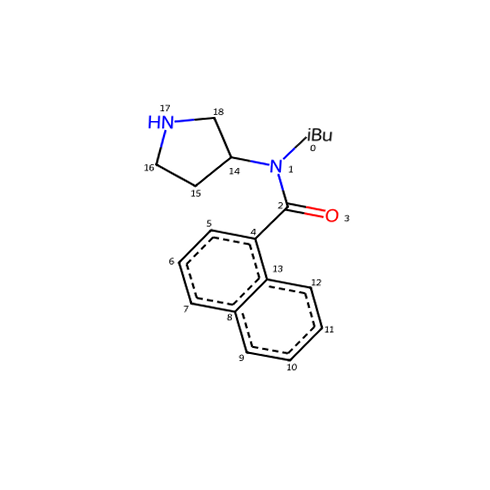 CCC(C)N(C(=O)c1cccc2ccccc12)C1CCNC1